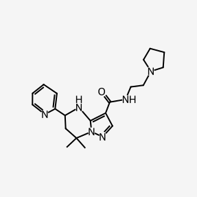 CC1(C)CC(c2ccccn2)Nc2c(C(=O)NCCN3CCCC3)cnn21